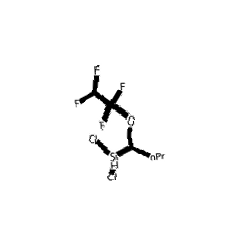 CCCC(OC(F)(F)C(F)F)[SiH](Cl)Cl